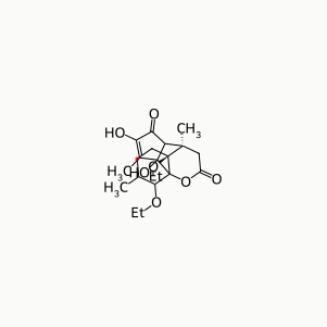 CCOC1C(C)CC[C@@]2(OCC)C13OC(=O)C[C@]2(C)C1C(=O)C(O)=C(C)C13O